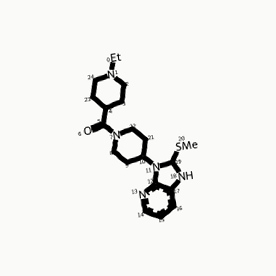 CCN1CCC(C(=O)N2CCC(N3c4ncccc4NC3SC)CC2)CC1